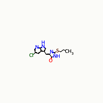 CCCSC1=N/C(=C\c2c[nH]c3ncc(Cl)cc23)C(=O)N1